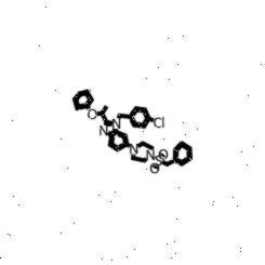 CC(Oc1ccccc1)c1nc2ccc(N3CCN(S(=O)(=O)Cc4ccccc4)CC3)cc2n1Cc1ccc(Cl)cc1